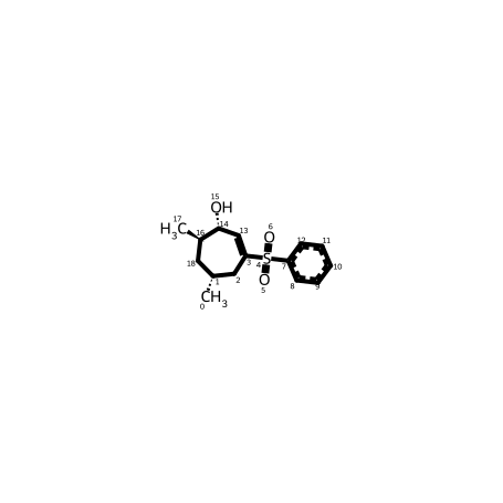 C[C@H]1CC(S(=O)(=O)c2ccccc2)=C[C@@H](O)[C@H](C)C1